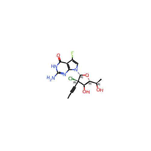 CC#C[C@@]1(Cl)C(O)[C@@H]([C@@H](C)O)O[C@H]1n1cc(F)c2c(=O)[nH]c(N)nc21